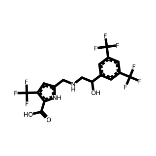 O=C(O)c1[nH]c(CNCC(O)c2cc(C(F)(F)F)cc(C(F)(F)F)c2)cc1C(F)(F)F